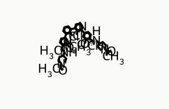 COc1cc(-c2nccc(-c3cccc(-c4ccc([C@H](C)NC5CCN(C(C)=O)CC5)c(OC)n4)c3Cl)c2Cl)ccc1[C@@H](C)NC1CCN(C(C)=O)CC1